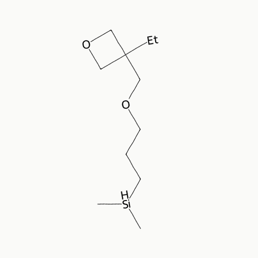 CCC1(COCCC[SiH](C)C)COC1